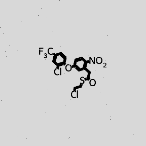 O=C(Cc1cc(Oc2ccc(C(F)(F)F)cc2Cl)ccc1[N+](=O)[O-])SCCCl